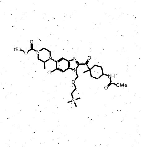 COC(=O)NC1CCC(C)(C(=O)c2nc3cc(N4CCN(C(=O)OC(C)(C)C)CC4C)c(Cl)cc3n2COCC[Si](C)(C)C)CC1